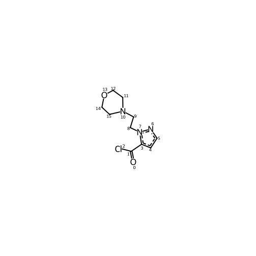 O=C(Cl)c1ccnn1CCN1CCOCC1